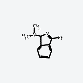 CCC1=NC(N(C)C)c2ccccc21